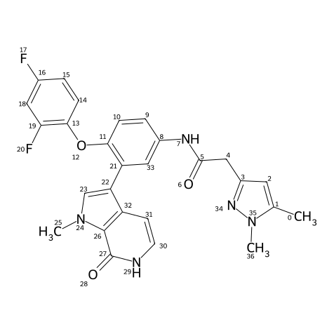 Cc1cc(CC(=O)Nc2ccc(Oc3ccc(F)cc3F)c(-c3cn(C)c4c(=O)[nH]ccc34)c2)nn1C